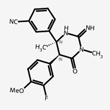 COc1ccc([C@@H]2C(=O)N(C)C(=N)N[C@]2(C)c2cccc(C#N)c2)cc1F